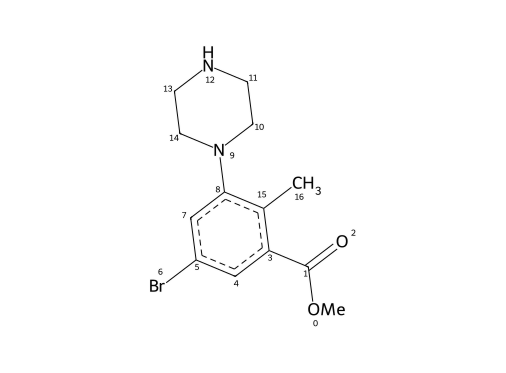 COC(=O)c1cc(Br)cc(N2CCNCC2)c1C